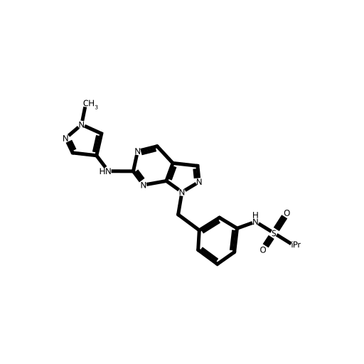 CC(C)S(=O)(=O)Nc1cccc(Cn2ncc3cnc(Nc4cnn(C)c4)nc32)c1